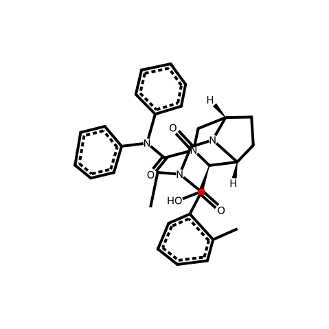 CCN(Cc1ccccc1C)C(=O)N1[C@H]2CC[C@@H]1[C@@H](C(=O)O)N(C(=O)N(c1ccccc1)c1ccccc1)C2